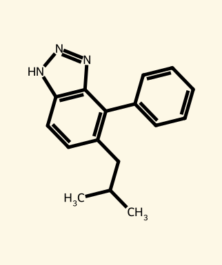 CC(C)Cc1ccc2[nH]nnc2c1-c1ccccc1